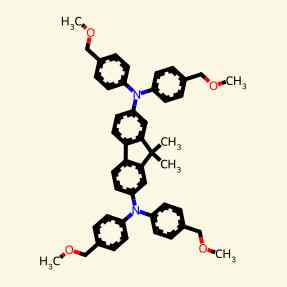 COCc1ccc(N(c2ccc(COC)cc2)c2ccc3c(c2)C(C)(C)c2cc(N(c4ccc(COC)cc4)c4ccc(COC)cc4)ccc2-3)cc1